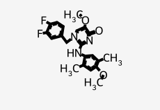 COc1cc(C)c(Nc2nc(=O)c(OC)cn2Cc2ccc(F)c(F)c2)cc1C